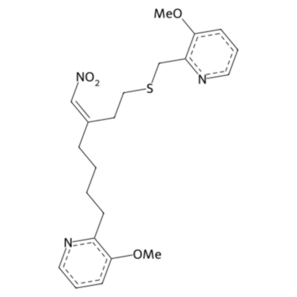 COc1cccnc1CCCCC(=C[N+](=O)[O-])CCSCc1ncccc1OC